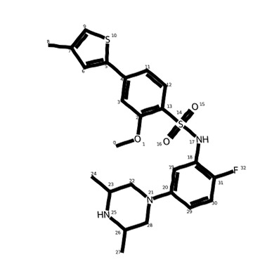 COc1cc(-c2cc(C)cs2)ccc1S(=O)(=O)Nc1cc(N2CC(C)NC(C)C2)ccc1F